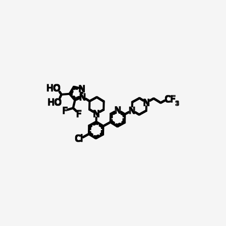 OC(O)c1cnn(C2CCCN(c3cc(Cl)ccc3-c3ccc(N4CCN(CCC(F)(F)F)CC4)nc3)C2)c1C(F)F